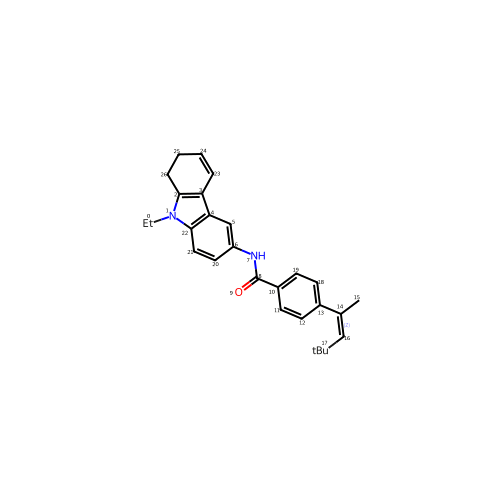 CCn1c2c(c3cc(NC(=O)c4ccc(/C(C)=C\C(C)(C)C)cc4)ccc31)C=CCC2